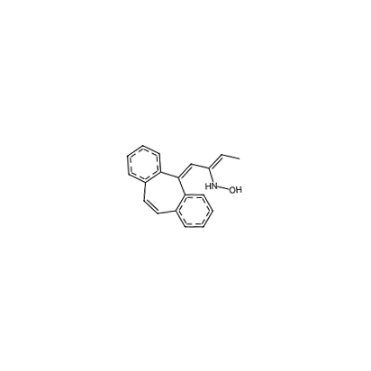 CC=C(C=C1c2ccccc2C=Cc2ccccc21)NO